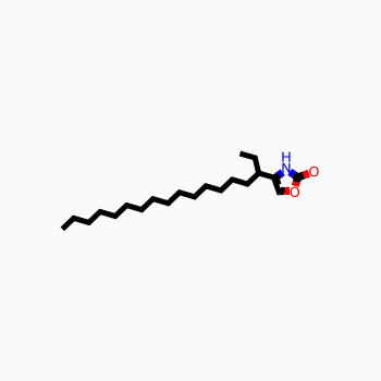 CCCCCCCCCCCCCCCC(CC)c1coc(=O)[nH]1